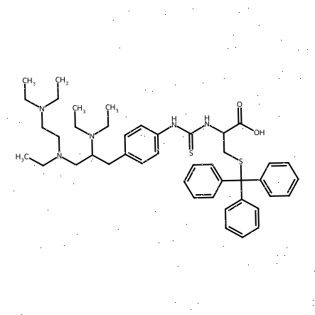 CCN(CC)CCN(CC)CC(Cc1ccc(NC(=S)NC(CSC(c2ccccc2)(c2ccccc2)c2ccccc2)C(=O)O)cc1)N(CC)CC